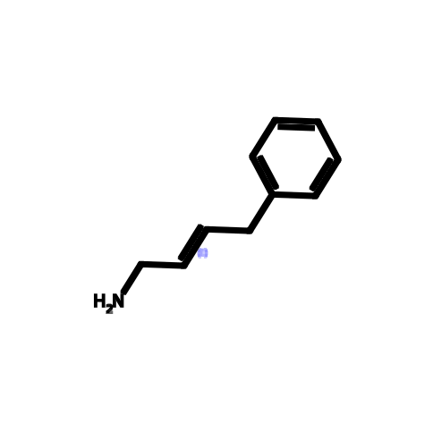 NC/C=C/Cc1ccccc1